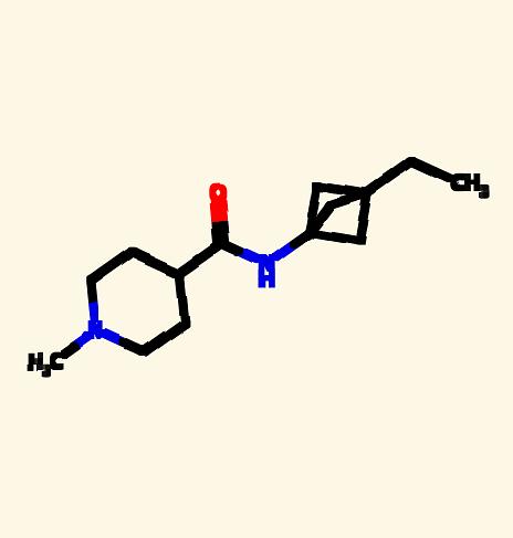 CCC12CC(NC(=O)C3CCN(C)CC3)(C1)C2